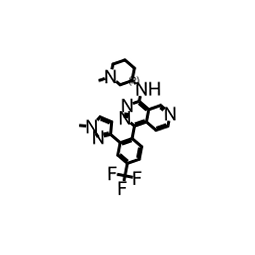 CN1CCC[C@@H](Nc2nnc(-c3ccc(C(F)(F)F)cc3-c3ccn(C)n3)c3ccncc23)C1